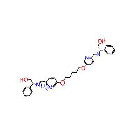 C=C(/C=C\C(=C/N)OCCCCCOc1ccc(/C=N/[C@H](CO)c2ccccc2)nc1)/C=N/[C@H](CO)c1ccccc1